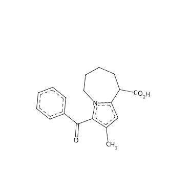 Cc1cc2n(c1C(=O)c1ccccc1)CCCCC2C(=O)O